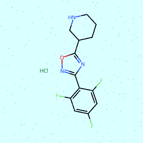 Cl.Fc1cc(F)c(-c2noc(C3CCCNC3)n2)c(F)c1